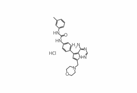 Cc1cccc(NC(=O)Nc2ccc(-c3cc(CN4CCOCC4)n4ncnc(N)c34)cc2)c1.Cl